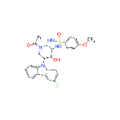 CC(C)C(=O)N1CC(NS(=N)(=O)c2ccc(OC(F)(F)F)cc2)C(O)C(n2c3ccccc3c3cc(F)ccc32)C1